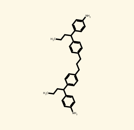 CCCC(c1ccc(N)cc1)c1ccc(CCCc2ccc(C(CCC)c3ccc(N)cc3)cc2)cc1